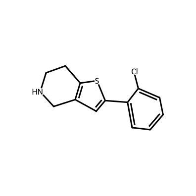 Clc1ccccc1-c1cc2c(s1)CCNC2